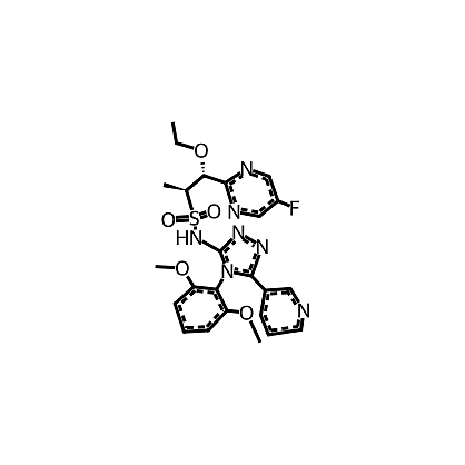 CCO[C@H](c1ncc(F)cn1)[C@H](C)S(=O)(=O)Nc1nnc(-c2cccnc2)n1-c1c(OC)cccc1OC